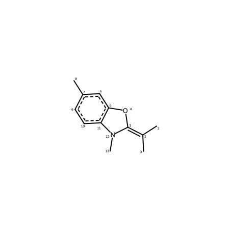 CC(C)=C1Oc2cc(C)ccc2N1C